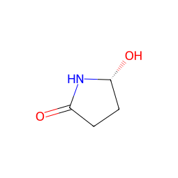 O=C1CC[C@@H](O)N1